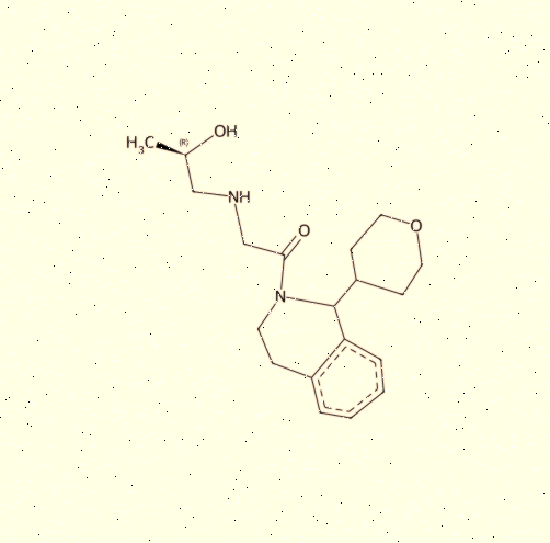 C[C@@H](O)CNCC(=O)N1CCc2ccccc2C1C1CCOCC1